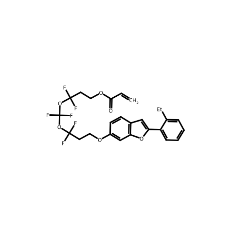 C=CC(=O)OCCC(F)(F)OC(F)(F)OC(F)(F)CCOc1ccc2cc(-c3ccccc3CC)oc2c1